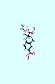 COC(=O)c1ccc2c(c1)CCC(CCCN)(C(=O)OC)C2